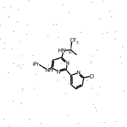 CC(C)Nc1cc(N[C@H](C)C(F)(F)F)nc(-c2cccc(Cl)n2)n1